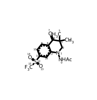 CC(=O)NN1CC(C)(C)C(=O)c2ccc(S(=O)(=O)C(F)(F)F)cc21